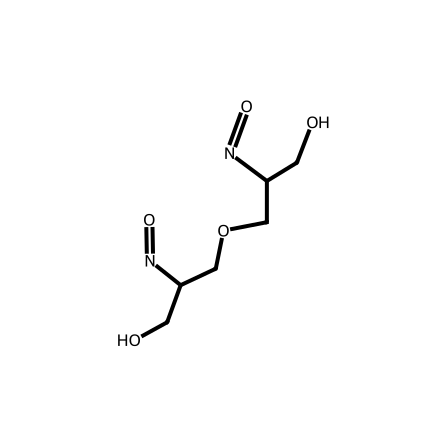 O=NC(CO)COCC(CO)N=O